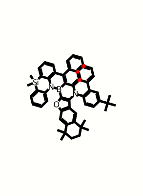 CC(C)(C)c1ccc(N2c3cc4ccccc4c4c3B(c3oc5cc6c(cc5c32)C(C)(C)CCC6(C)C)N2c3ccccc3[Si](C)(C)c3cccc-4c32)c(-c2ccccc2)c1